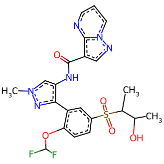 CC(O)C(C)S(=O)(=O)c1ccc(OC(F)F)c(-c2nn(C)cc2NC(=O)c2cnn3cccnc23)c1